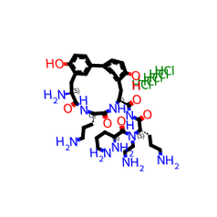 Cl.Cl.Cl.Cl.Cl.NCCC[C@@H]1NC(=O)[C@@H](N)Cc2cc(ccc2O)-c2ccc(O)c(c2)C[C@@H](C(=O)NC(=O)[C@H](CCCN)N(CCN)C(=O)[C@@H](N)CCCN)NC1=O